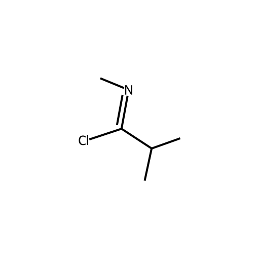 CN=C(Cl)C(C)C